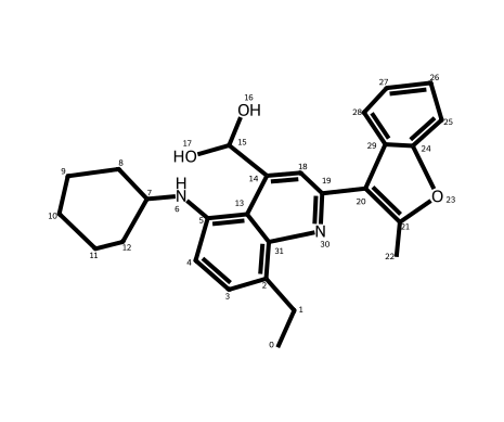 CCc1ccc(NC2CCCCC2)c2c(C(O)O)cc(-c3c(C)oc4ccccc34)nc12